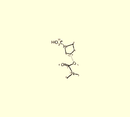 CN(C)C(=O)O[C@H]1CCN(C(=O)O)C1